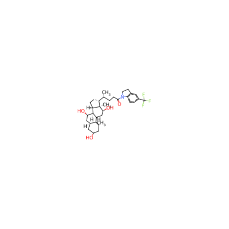 C[C@H](CCC(=O)N1CCc2cc(C(F)(F)F)ccc21)[C@H]1CC[C@H]2[C@@H]3[C@H](O)C[C@@H]4C[C@H](O)CC[C@]4(C)[C@H]3C[C@H](O)[C@]12C